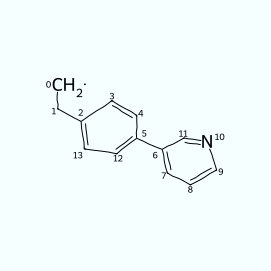 [CH2]Cc1ccc(-c2cccnc2)cc1